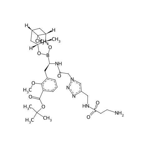 COc1c(C[C@H](NC(=O)Cn2cc(CNS(=O)(=O)CCN)nn2)B2O[C@@H]3C[C@@H]4C[C@@H](C4(C)C)[C@]3(C)O2)cccc1C(=O)OC(C)(C)C